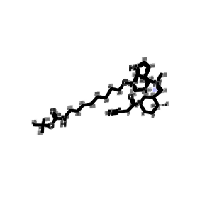 C[C@@H]1CCN(C(=O)CC#N)CC1/C=[N+](/C)c1nc[n+](OCCCCCCCCNC(=O)OC(C)(C)C)c2[nH]ccc12